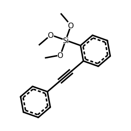 CO[Si](OC)(OC)c1ccccc1C#Cc1ccccc1